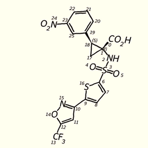 O=C(O)[C@@]1(NS(=O)(=O)c2ccc(-c3cc(C(F)(F)F)on3)s2)C[C@H]1c1cccc([N+](=O)[O-])c1